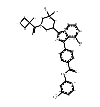 CC1(C(=O)N2CC(c3nc(-c4ccc(C(=O)Nc5cc(C(F)(F)F)ccn5)cc4)c4c(N)nccn34)CC(F)(F)C2)COC1